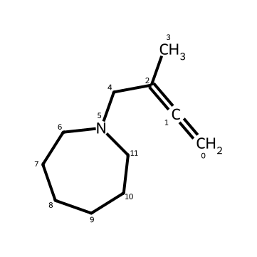 C=C=C(C)CN1CCCCCC1